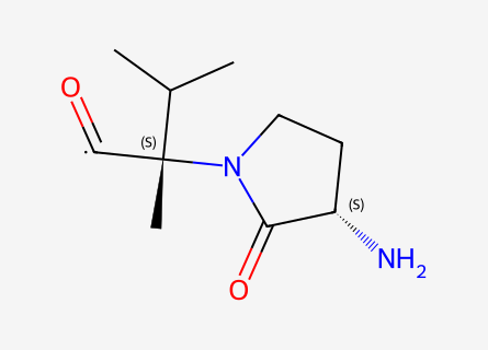 CC(C)[C@@](C)([C]=O)N1CC[C@H](N)C1=O